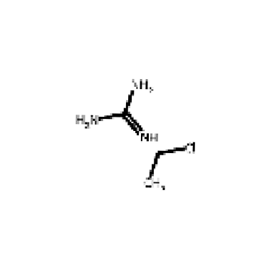 CCCl.N=C(N)N